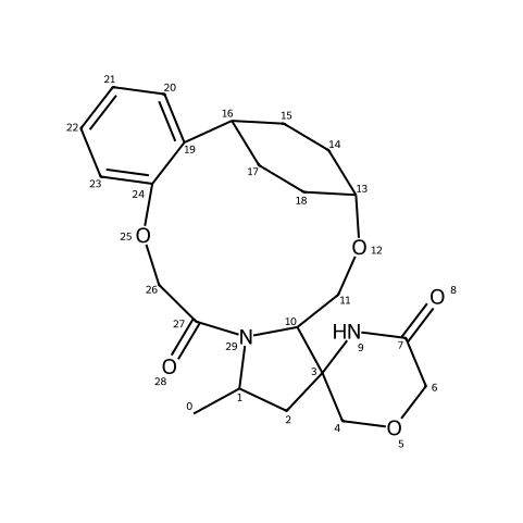 CC1CC2(COCC(=O)N2)C2COC3CCC(CC3)c3ccccc3OCC(=O)N12